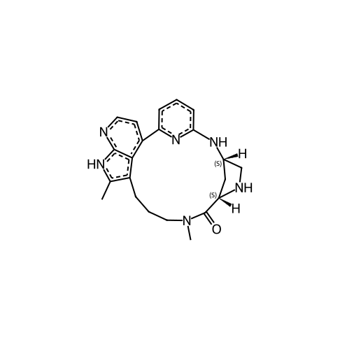 Cc1[nH]c2nccc3c2c1CCCN(C)C(=O)[C@@H]1C[C@@H](CN1)Nc1cccc-3n1